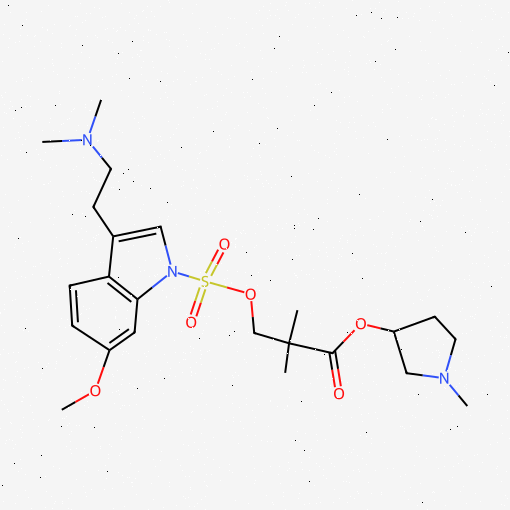 COc1ccc2c(CCN(C)C)cn(S(=O)(=O)OCC(C)(C)C(=O)OC3CCN(C)C3)c2c1